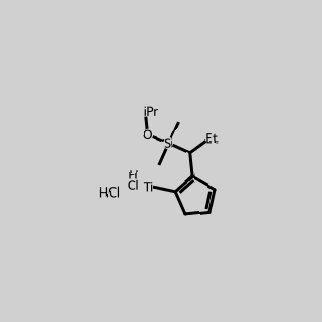 CCC(C1=[C]([Ti])CC=C1)[Si](C)(C)OC(C)C.Cl.Cl